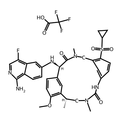 COc1ccc2cc1[C@@H](C)CN(C)C(=O)Nc1ccc(S(=O)(=O)C3CC3)c(c1)CN(C)C(=O)[C@@H]2Nc1ccc2c(N)ncc(F)c2c1.O=C(O)C(F)(F)F